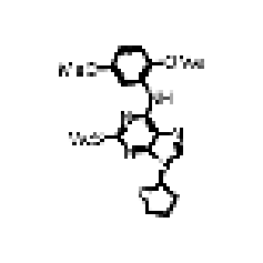 COc1ccc(OC)c(Nc2nc(SC)nc3c2ncn3C2CCCO2)c1